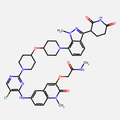 CNC(=O)COc1cc2cc(Nc3nc(N4CCC(OC5CCN(c6cccc7c(C8CCC(=O)NC8=O)nn(C)c67)CC5)CC4)ncc3Cl)ccc2n(C)c1=O